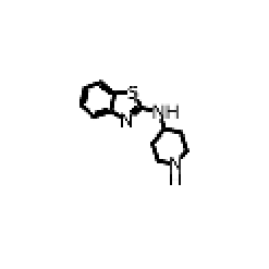 c1ccc2sc(NC3CCNCC3)nc2c1